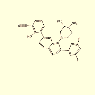 N#Cc1cccc(-c2ccc3ncc(-c4cc(F)cc(F)c4)c(N4CCC(N)[C@@H](O)C4)c3c2)c1O